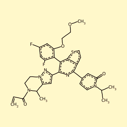 C=CC(=O)N1CCn2nc(-c3nc(-c4ccn(C(C)C)c(=O)c4)c4ccsc4c3-c3c(F)cc(F)cc3OCCOC)cc2C1C